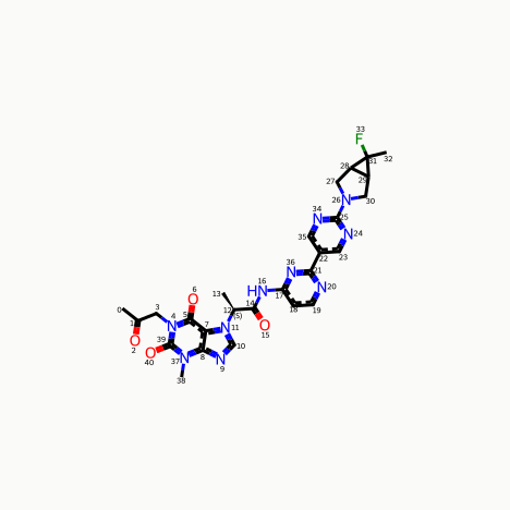 CC(=O)Cn1c(=O)c2c(ncn2[C@@H](C)C(=O)Nc2ccnc(-c3cnc(N4CC5C(C4)C5(C)F)nc3)n2)n(C)c1=O